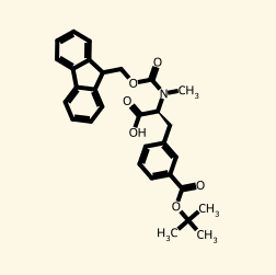 CN(C(=O)OCC1c2ccccc2-c2ccccc21)[C@@H](Cc1cccc(C(=O)OC(C)(C)C)c1)C(=O)O